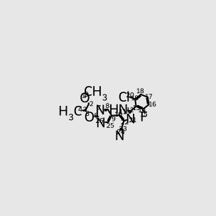 COCC(C)Oc1ncc(-c2[nH]c(-c3c(F)cccc3Cl)nc2C#N)cn1